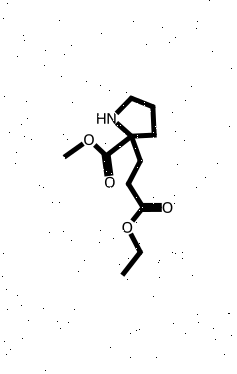 CCOC(=O)CCC1(C(=O)OC)CCCN1